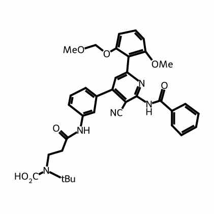 COCOc1cccc(OC)c1-c1cc(-c2cccc(NC(=O)CCN(C(=O)O)C(C)(C)C)c2)c(C#N)c(NC(=O)c2ccccc2)n1